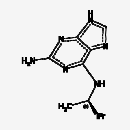 CC(C)[C@@H](C)Nc1nc(N)nc2[nH]cnc12